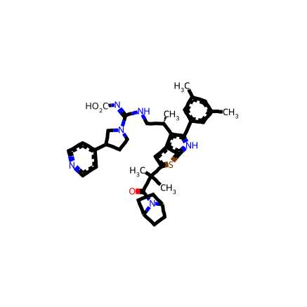 Cc1cc(C)cc(-c2[nH]c3sc(C(C)(C)C(=O)N4C5CCC4CC5)cc3c2[C@@H](C)CNC(=NC(=O)O)N2CCC(c3ccncc3)C2)c1